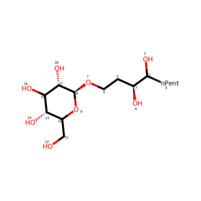 CCCCCC(O)[C@@H](O)CCO[C@H]1OC(CO)[C@H](O)C(O)[C@@H]1O